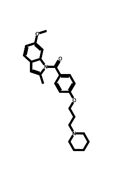 COC1=CC2C(C=C1)C=C(C)N2C(=O)c1ccc(OCCCN2CCCCC2)cc1